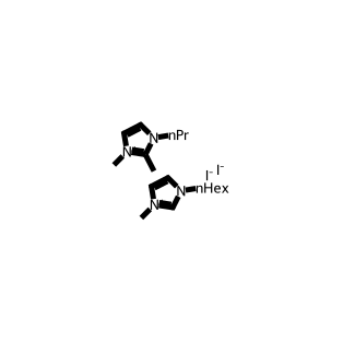 CCCCCCn1cc[n+](C)c1.CCCn1cc[n+](C)c1C.[I-].[I-]